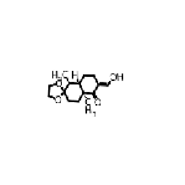 C[C@H]1[C@@H]2CC/C(=C\O)C(=O)[C@@]2(C)CCC12OCCO2